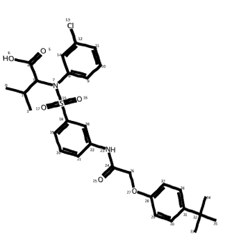 CC(C)C(C(=O)O)N(c1cccc(Cl)c1)S(=O)(=O)c1cccc(NC(=O)COc2ccc(C(C)(C)C)cc2)c1